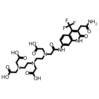 NC(=O)Cc1c(C(F)(F)F)c2ccc(NC(=O)CN(CCN(CCN(CC(=O)O)CC(=O)O)CC(=O)O)CC(=O)O)cc2[nH]c1=O